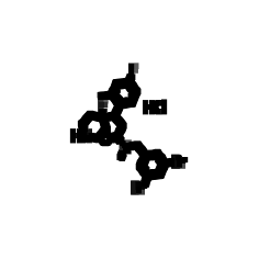 Cc1cc(F)ccc1C(CC(=O)N(C)Cc1cc(Br)cc(Br)c1)C1(F)CCNCC1.Cl